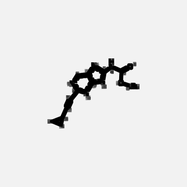 CC(C)(C)OC(=O)Nc1nc2cnc(C#CC3CC3)nc2s1